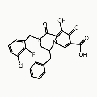 O=C(O)c1cn2c(c(O)c1=O)C(=O)N(Cc1cccc(Cl)c1F)CC2Cc1ccccc1